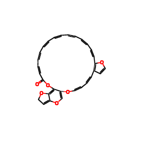 O=c1ccccccccccccccc2occc2ccccoc2c(o1)=C1OCC=C1OC=2